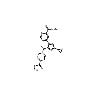 CNC(=O)c1cc(-n2nc(C3CC3)nc2[C@H](C)N2C=CC(C(=O)OC(C)(C)C)=NC2)ncn1